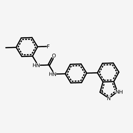 Cc1ccc(F)c(NC(=O)Nc2ccc(-c3cccc4[nH]ncc34)cc2)c1